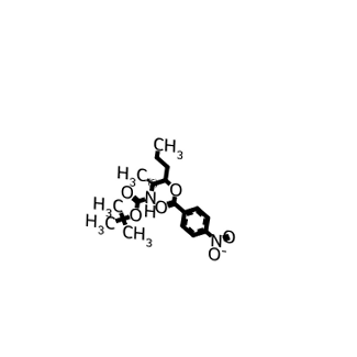 CCCC(OC(=O)c1ccc([N+](=O)[O-])cc1)[C@H](C)NC(=O)OC(C)(C)C